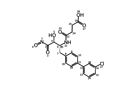 O=NC(=O)C(O)[C@@H](Cc1ccc(-c2cccc(Cl)c2)cc1)NC(=O)CCC(=O)O